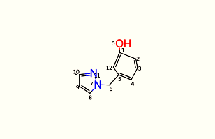 Oc1cccc(Cn2cc[c]n2)c1